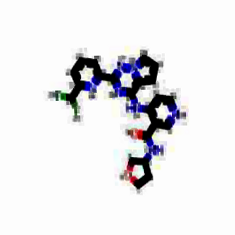 O=C(NC1CCOC1)c1cnccc1Nc1nc(-c2cccc(C(F)F)n2)nn2cccc12